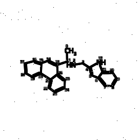 CC(NCc1cc2ccccc2[nH]1)c1cc2ccccc2c2ccccc12